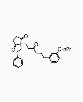 CCCOc1cccc(CCCC(=O)CCC2(CCc3ccccc3)C(=O)CCC2=O)c1